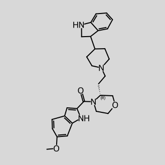 COc1ccc2cc(C(=O)N3CCOC[C@H]3CCN3CCC(C4CNc5ccccc54)CC3)[nH]c2c1